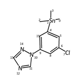 [CH3][Sn]([CH3])([CH3])[c]1cc(Cl)cc(-n2cncn2)c1